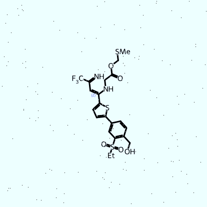 CCS(=O)(=O)c1cc(-c2ccc(/C(=C/C(=N)C(F)(F)F)NCC(=O)OCSC)s2)ccc1CO